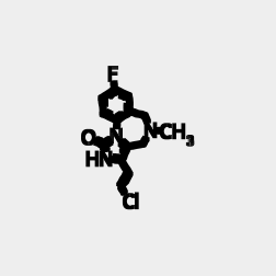 CN1Cc2cc(F)ccc2-n2c(c(C=CCl)[nH]c2=O)C1